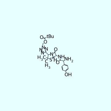 CC(C)(C)C(=O)OCn1nnc(C2N3C(=O)C(NC(=O)C(N)c4ccc(O)cc4)[C@H]3SC2(C)C)n1